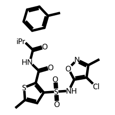 Cc1cc(S(=O)(=O)Nc2onc(C)c2Cl)c(C(=O)NC(=O)C(C)C)s1.Cc1ccccc1